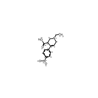 CCN1CC=C(c2ccc([N+](=O)[O-])cc2)C(C(=O)O)C1